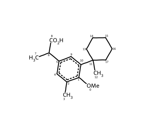 COc1c(C)cc(C(C)C(=O)O)cc1C1(C)CCCCC1